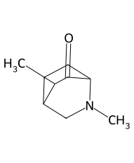 CC1C(=O)C2CCC1CN2C